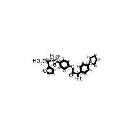 CCC(C(=O)Oc1ccc(S(=O)(=O)NC(C(=O)O)c2ccco2)cc1)c1ccc(N2CCCC2)cc1